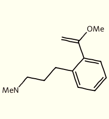 C=C(OC)c1ccccc1CCCNC